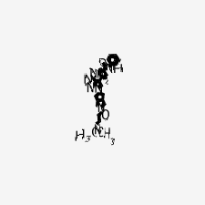 CN(C)C/C=C/C(=O)N1CC2CC(n3cc(-c4ccc(C(=O)Nc5ccccc5)cc4)c4c(N)ncnc43)CC2C1